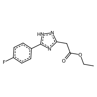 CCOC(=O)Cc1n[nH]c(-c2ccc(F)cc2)n1